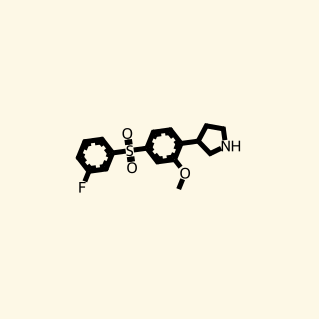 COc1cc(S(=O)(=O)c2cccc(F)c2)ccc1C1CCNC1